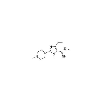 CCc1nc(N2CCN(C)CC2)n(C)c1C(=N)SC